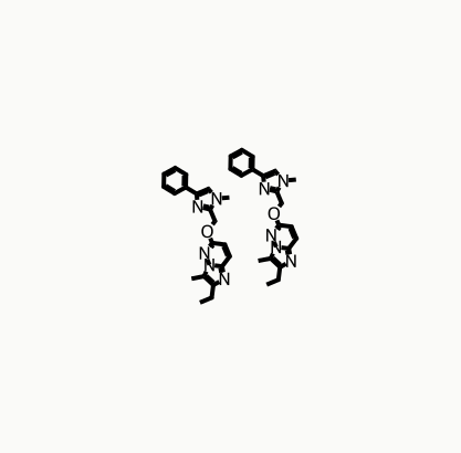 CCc1nc2ccc(OCc3nc(-c4ccccc4)cn3C)nn2c1C.CCc1nc2ccc(OCc3nc(-c4ccccc4)cn3C)nn2c1C